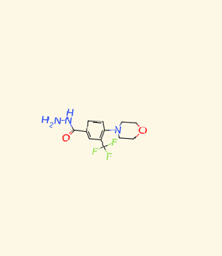 NNC(=O)c1ccc(N2CCOCC2)c(C(F)(F)F)c1